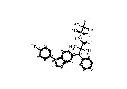 CC(C)(C(=O)NS(=O)(=O)C(F)(F)F)C(c1ccccc1)c1ccc2c(cnn2-c2ccc(F)cc2)c1